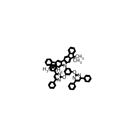 CC1(C)c2ccccc2-c2cc3c4cc5c(cc4n(-c4cc(Oc6nc(-c7ccccc7)cc(-c7ccccc7)n6)cc(Oc6nc(-c7ccccc7)cc(-c7ccccc7)n6)c4)c3cc21)C(C)(C)c1ccccc1-5